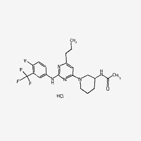 CCCc1cc(N2CCCC(NC(C)=O)C2)nc(Nc2ccc(F)c(C(F)(F)F)c2)n1.Cl